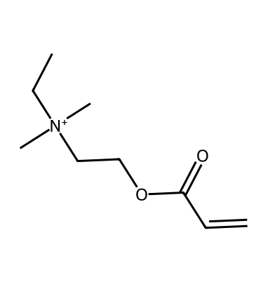 C=CC(=O)OCC[N+](C)(C)CC